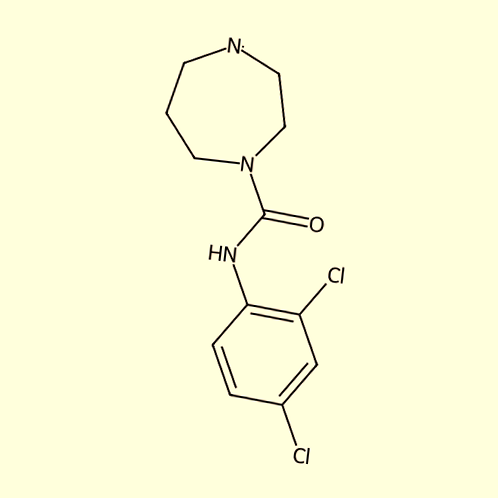 O=C(Nc1ccc(Cl)cc1Cl)N1CCC[N]CC1